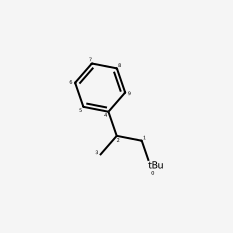 [CH2]C(C)(C)CC(C)c1ccccc1